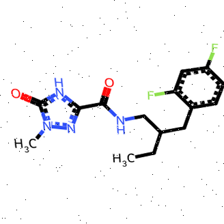 CCC(CNC(=O)c1nn(C)c(=O)[nH]1)Cc1ccc(F)cc1F